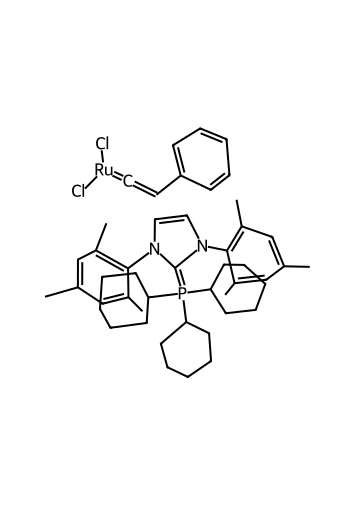 Cc1cc(C)c(-n2ccn(-c3c(C)cc(C)cc3C)c2=P(C2CCCCC2)(C2CCCCC2)C2CCCCC2)c(C)c1.[Cl][Ru]([Cl])=[C]=Cc1ccccc1